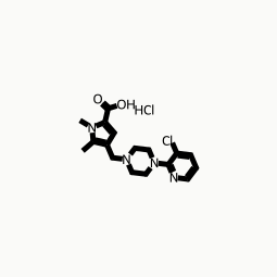 Cc1c(CN2CCN(c3ncccc3Cl)CC2)cc(C(=O)O)n1C.Cl